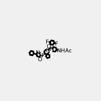 CC(=O)N[C@@H]1CCN(C(=O)N2CC[C@@H](Cn3cnc(-c4ccccc4)cc3=O)C3(CCCC3)C2)[C@H](c2cc(F)ccc2F)C1